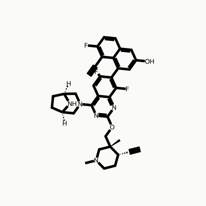 C#Cc1c(F)ccc2cc(O)cc(-c3c(F)cc4c(N5C[C@H]6CC[C@@H](C5)N6)nc(OC[C@@]5(C)CN(C)CC[C@H]5C#C)nc4c3F)c12